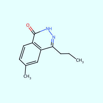 CCCc1n[nH]c(=O)c2ccc(C)cc12